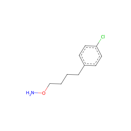 NOCCCCc1ccc(Cl)cc1